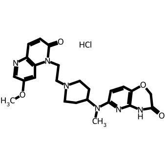 COc1cnc2ccc(=O)n(CCN3CCC(N(C)c4ccc5c(n4)NC(=O)CO5)CC3)c2c1.Cl